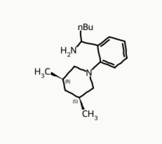 CCCCC(N)c1ccccc1N1C[C@H](C)C[C@H](C)C1